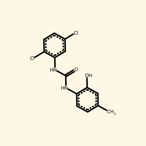 Cc1ccc(NC(=O)Nc2cc(Cl)ccc2Cl)c(O)c1